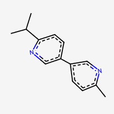 Cc1ccc(-c2ccc(C(C)C)nc2)cn1